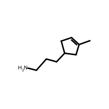 CC1=CCC(CCCN)C1